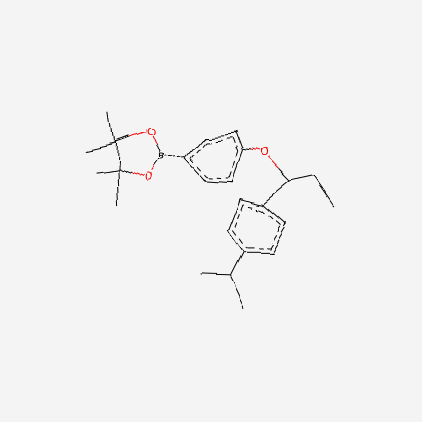 CCC(Oc1ccc(B2OC(C)(C)C(C)(C)O2)cc1)c1ccc(C(C)C)cc1